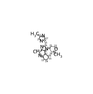 Cc1cnc(Cc2nc3c(Cl)nc4ccccc4c3n2[C@@H]2CCO[C@H](C)C2)cn1